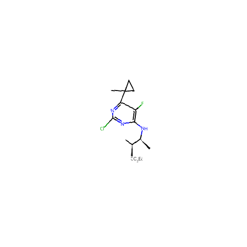 CCOC(=O)[C@@H](C)[C@H](C)Nc1nc(Cl)nc(C2(C)CC2)c1F